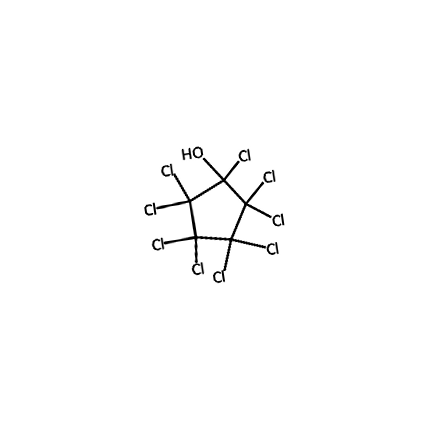 OC1(Cl)C(Cl)(Cl)C(Cl)(Cl)C(Cl)(Cl)C1(Cl)Cl